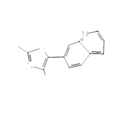 Cc1nc(Cl)c(-c2ccc3cccnc3c2)s1